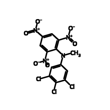 CN(c1cc(Cl)c(Cl)c(Cl)c1)c1c([N+](=O)[O-])cc([N+](=O)[O-])cc1[N+](=O)[O-]